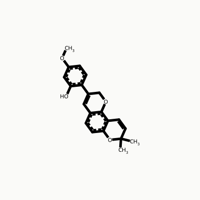 COc1ccc(C2=Cc3ccc4c(c3OC2)C=CC(C)(C)O4)c(O)c1